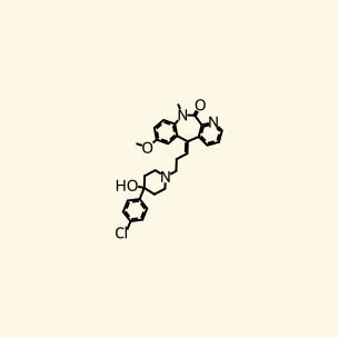 COc1ccc2c(c1)C(=CCCN1CCC(O)(c3ccc(Cl)cc3)CC1)c1cccnc1C(=O)N2C